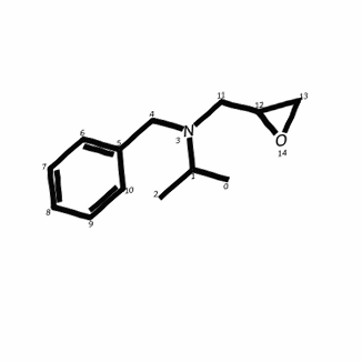 CC(C)N(Cc1ccccc1)CC1CO1